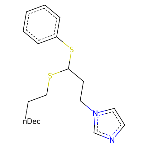 CCCCCCCCCCCCSC(CCn1ccnc1)Sc1ccccc1